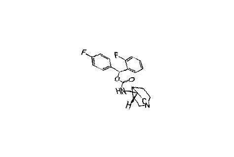 O=C(N[C@H]1CN2CCC1CC2)OC(c1ccc(F)cc1)c1ccccc1F